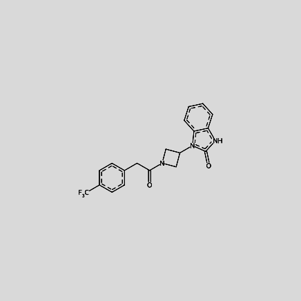 O=C(Cc1ccc(C(F)(F)F)cc1)N1CC(n2c(=O)[nH]c3ccccc32)C1